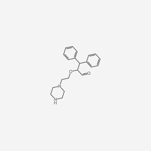 O=CC(OCCN1CCNCC1)C(c1ccccc1)c1ccccc1